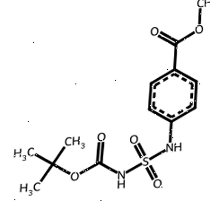 COC(=O)c1ccc(NS(=O)(=O)NC(=O)OC(C)(C)C)cc1